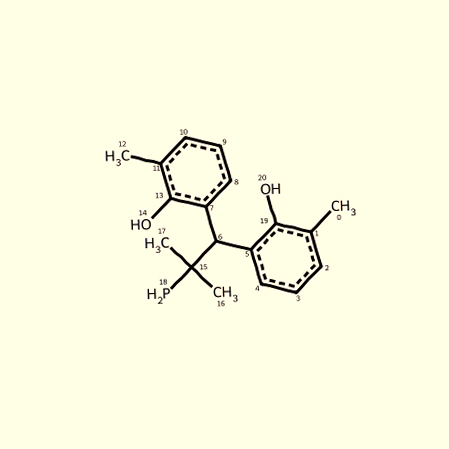 Cc1cccc(C(c2cccc(C)c2O)C(C)(C)P)c1O